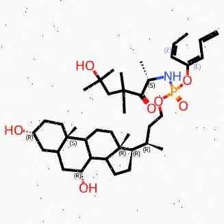 C=C/C=C(\C=C/C)OP(=O)(N[C@@H](C)C(=O)C(C)(C)CC(C)(C)O)OCC[C@@H](C)[C@H]1CCC2C3C(CC[C@@]21C)[C@@]1(C)CC[C@@H](O)CC1C[C@H]3O